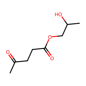 CC(=O)CCC(=O)OCC(C)O